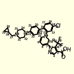 O=C(O)c1cnn(C2=CC=CN(c3cc(Cl)ccc3-c3ccc(N4CCN(CC5CC5)CC4)cc3)C2)c1C(F)(F)F